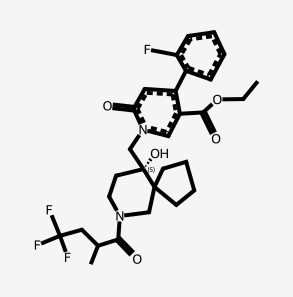 CCOC(=O)c1cn(C[C@]2(O)CCN(C(=O)C(C)CC(F)(F)F)CC23CCCC3)c(=O)cc1-c1ccccc1F